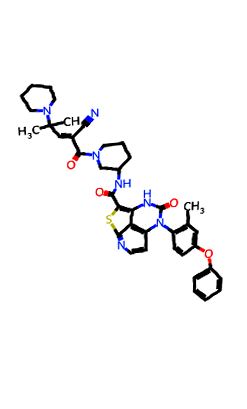 Cc1cc(Oc2ccccc2)ccc1N1C(=O)Nc2c(C(=O)NC3CCCN(C(=O)C(C#N)=CC(C)(C)N4CCCCC4)C3)sc3nccc1c23